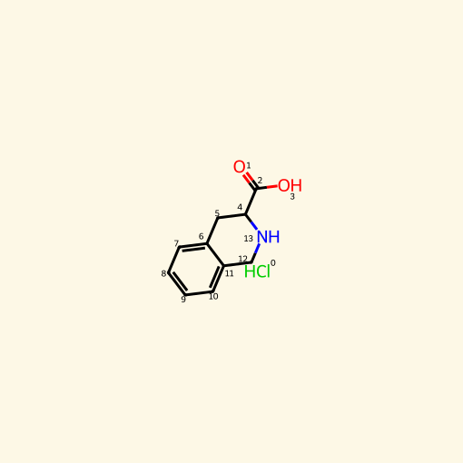 Cl.O=C(O)C1Cc2ccccc2CN1